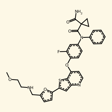 COCCNCc1ccc(-c2cc3nccc(Oc4ccc(N(C(=O)C5(C(N)=O)CC5)c5ccccc5)cc4F)c3s2)o1